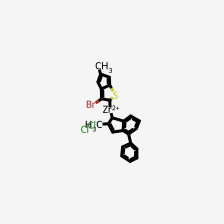 CC1=CC2=C(Br)[CH]([Zr+2][CH]3C(C)=Cc4c(-c5ccccc5)cccc43)SC2=C1.[Cl-].[Cl-]